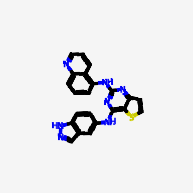 c1cc(Nc2nc(Nc3ccc4[nH]ncc4c3)c3sccc3n2)c2cccnc2c1